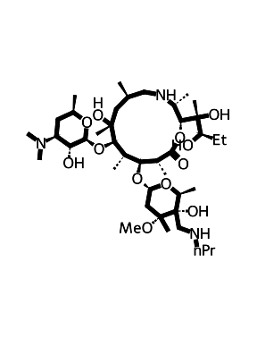 CCCNC[C@]1(O)[C@H](C)O[C@@H](O[C@H]2[C@H](C)[C@@H](O[C@@H]3O[C@H](C)C[C@H](N(C)C)[C@H]3O)[C@](C)(O)C[C@@H](C)CN[C@H](C)[C@H]([C@](C)(O)[C@H](O)CC)OC(=O)[C@@H]2C)C[C@@]1(C)OC